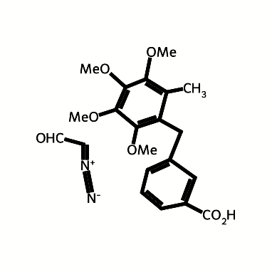 COc1c(C)c(Cc2cccc(C(=O)O)c2)c(OC)c(OC)c1OC.[N-]=[N+]=CC=O